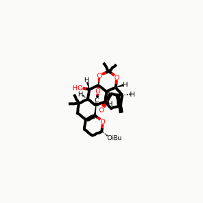 C=C1C(=O)[C@@]23[C@@H]4OC(C)(C)O[C@]25OC[C@]2(C6=C(CC[C@@H](OCC(C)C)O6)CC(C)(C)[C@H]2[C@@H]5O)[C@@H]3CC[C@@H]14